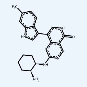 N[C@H]1CCCC[C@H]1Nc1ncc2c(=O)[nH]cc(-c3c[nH]c4cc(C(F)(F)F)ccc34)c2n1